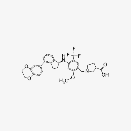 COc1cc(N[C@H]2CCc3c(-c4ccc5c(c4)OCCO5)cccc32)c(C(F)(F)F)cc1CN1CCC(C(=O)O)C1